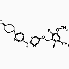 COc1cc(C)c(F)c(COc2cnc(Nc3ccc(N4CCC(=O)CC4)nc3)nc2)c1F